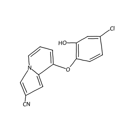 N#Cc1cc2c(Oc3ccc(Cl)cc3O)cccn2c1